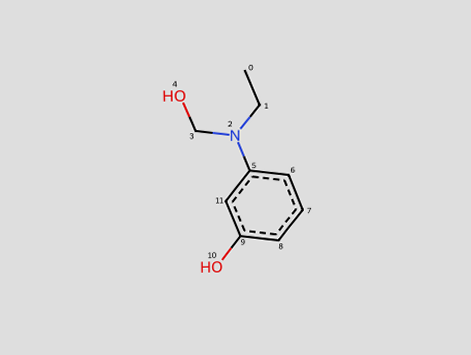 CCN(CO)c1cccc(O)c1